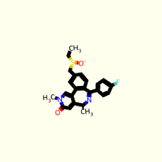 CC[S+]([O-])Cc1ccc2c(c1)-c1cn(C)c(=O)cc1[C@H](C)N=C2c1ccc(F)cc1